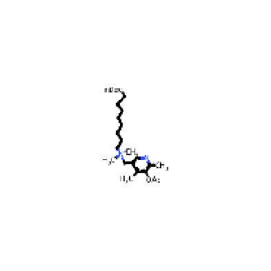 CCCCCCCCCCCCCCCCCC[N+](C)(C)Cc1cnc(C)c(OC(C)=O)c1C